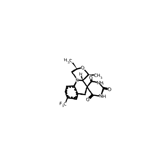 C[C@@H]1CN2c3ccc(C(F)(F)F)cc3CC3(C(=O)NC(=O)NC3=O)[C@H]2[C@H](C)O1